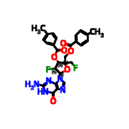 Cc1ccc(C(=O)OC[C@@]2(CF)O[C@@H](n3cnc4c(=O)[nH]c(N)nc43)[C@@H](F)[C@@H]2OC(=O)c2ccc(C)cc2)cc1